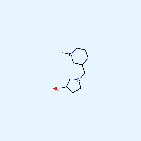 CN1CCCC(CN2CCC(O)C2)C1